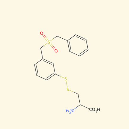 NC(CSSc1cccc(CS(=O)(=O)Cc2ccccc2)c1)C(=O)O